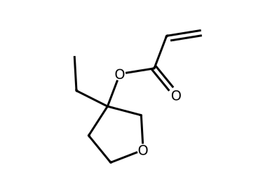 C=CC(=O)OC1(CC)CCOC1